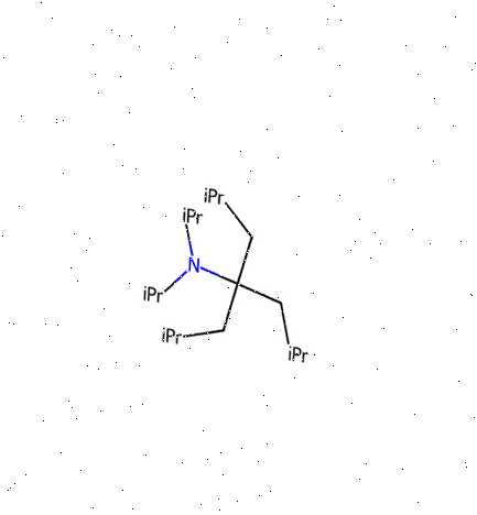 CC(C)CC(CC(C)C)(CC(C)C)N(C(C)C)C(C)C